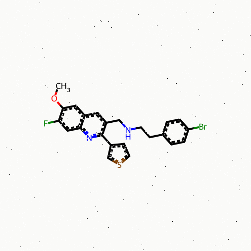 COc1cc2cc(CNCCc3ccc(Br)cc3)c(-c3ccsc3)nc2cc1F